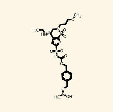 CCN[C@H]1CN(CCCOC)S(=O)(=O)c2sc(S(=O)(=O)NC(=O)OCc3ccc(CON(O)O)cc3)cc21